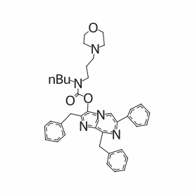 CCCCN(CCCN1CCOCC1)C(=O)Oc1c(Cc2ccccc2)nc2c(Cc3ccccc3)nc(-c3ccccc3)cn12